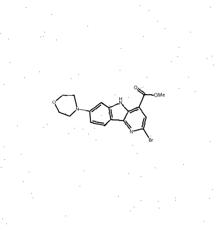 COC(=O)c1cc(Br)nc2c1[nH]c1cc(N3CCOCC3)ccc12